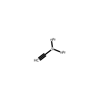 C#C[Si](CCC)CCC